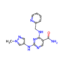 Cn1cc(Nc2ncc(C(N)=O)c(NCc3ccccn3)n2)cn1